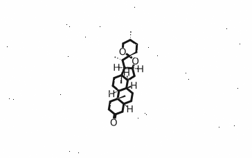 C[C@@H]1CC[C@@]2(OC1)O[C@H]1C[C@H]3[C@@H]4CC[C@H]5CC(=O)CC[C@]5(C)[C@H]4CC[C@]3(C)[C@H]1[C@@H]2C